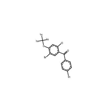 [2H]C([2H])([2H])Oc1cc(Cl)c(C(=O)c2ccc(CC)cc2)cc1Br